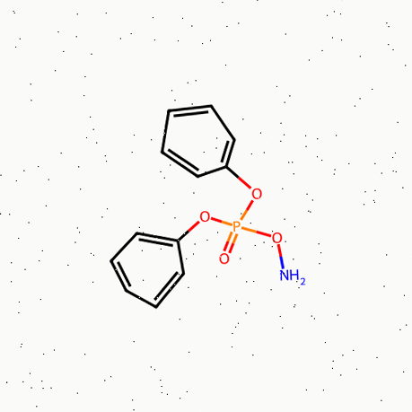 NOP(=O)(Oc1ccccc1)Oc1ccccc1